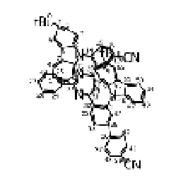 CC(C)(C)c1ccc2c(c1)c1ccccc1n2-c1ccc(C#N)cc1-c1nc(-c2ccccc2)nc(-c2ccc(-c3ccc(C#N)cc3)cc2-n2c3ccccc3c3cc(C(C)(C)C)ccc32)n1